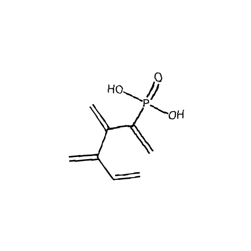 C=CC(=C)C(=C)C(=C)P(=O)(O)O